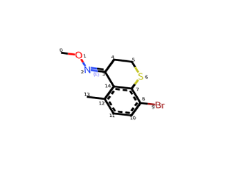 CO/N=C1\CCSc2c(Br)ccc(C)c21